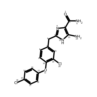 NC(=O)c1nc(Cc2ccc(Oc3ccc(Cl)cc3)c(Cl)c2)[nH]c1N